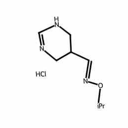 CC(C)ON=CC1CN=CNC1.Cl